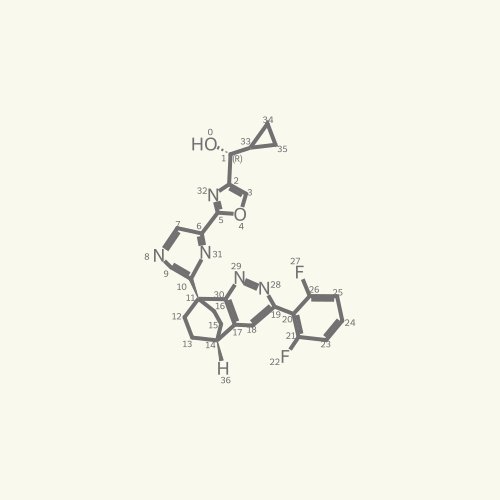 O[C@@H](c1coc(-c2cncc([C@]34CC[C@H](CC3)c3cc(-c5c(F)cccc5F)nnc34)n2)n1)C1CC1